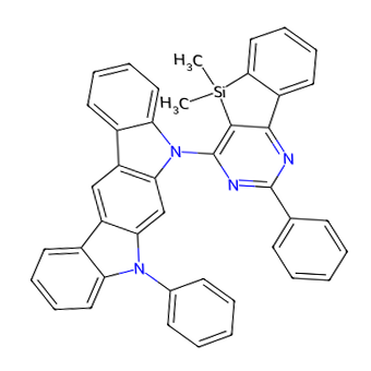 C[Si]1(C)c2ccccc2-c2nc(-c3ccccc3)nc(-n3c4ccccc4c4cc5c6ccccc6n(-c6ccccc6)c5cc43)c21